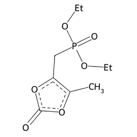 CCOP(=O)(Cc1oc(=O)oc1C)OCC